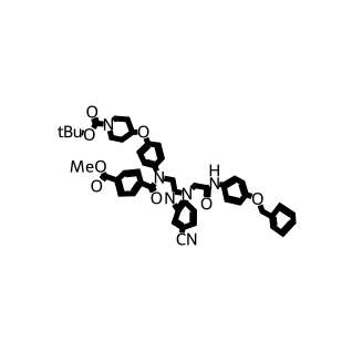 COC(=O)c1ccc(C(=O)N(Cc2nc3cc(C#N)ccc3n2CC(=O)Nc2ccc(OCc3ccccc3)cc2)c2ccc(OC3CCN(C(=O)OC(C)(C)C)CC3)cc2)cc1